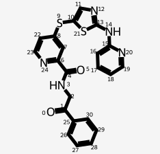 O=C(CNC(=O)c1cc(Sc2cnc(Nc3ccccn3)s2)ccn1)c1ccccc1